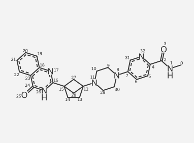 CNC(=O)c1ccc(N2CCN(C34CCC(c5nc6ccccc6c(=O)[nH]5)(C3)C4)CC2)cn1